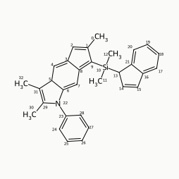 CC1=CC2=CC3C(=CC2=C1[Si](C)(C)C1C=Cc2ccccc21)N(c1ccccc1)C(C)=C3C